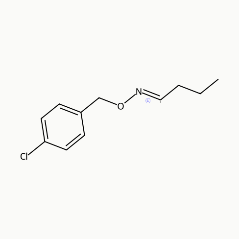 CCC/[C]=N/OCc1ccc(Cl)cc1